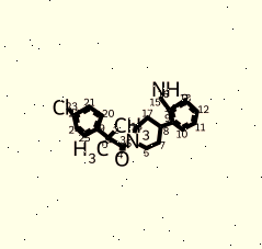 CC(C)(C(=O)N1CCC(c2ccccc2CN)CC1)c1ccc(Cl)cc1